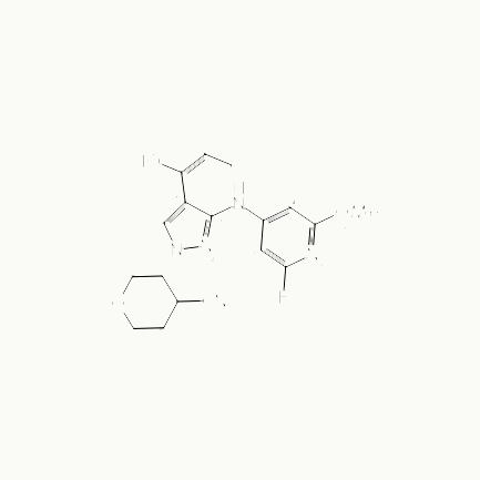 C/C=C(/O)c1cn([C@H]2COCCC2C#N)nc1Nc1cc(F)nc(OC)c1